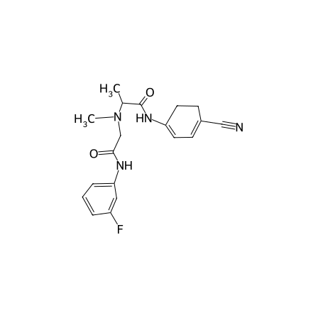 CC(C(=O)NC1=CC=C(C#N)CC1)N(C)CC(=O)Nc1cccc(F)c1